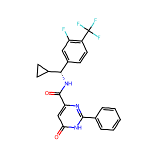 O=C(N[C@@H](c1ccc(C(F)(F)F)c(F)c1)C1CC1)c1cc(=O)[nH]c(-c2ccccc2)n1